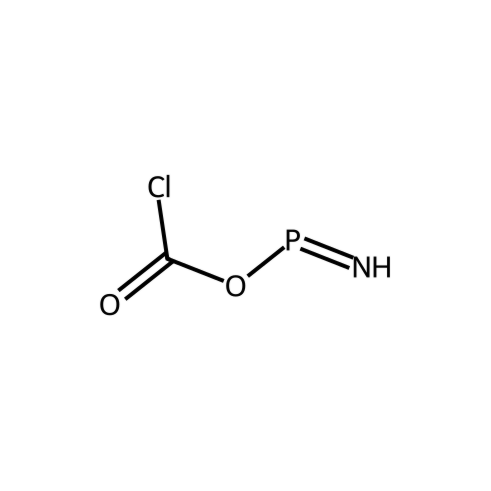 N=POC(=O)Cl